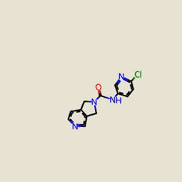 O=C(Nc1ccc(Cl)nc1)N1Cc2ccncc2C1